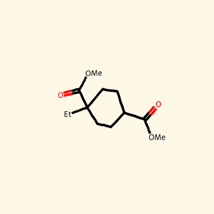 CCC1(C(=O)OC)CCC(C(=O)OC)CC1